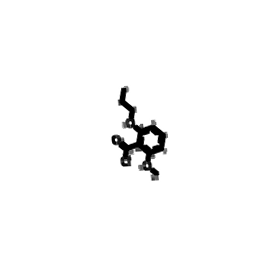 CCCOc1cccc(OC)c1C(=O)Cl